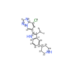 CC(C)c1c(-c2cc(Cl)c3ncnn3c2)[nH]c2ccc(C3CCNCC3)cc12